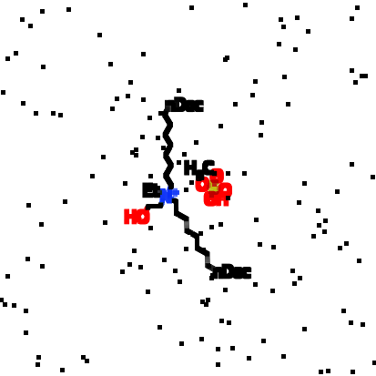 CCCCCCCCCCCCCCCCCC[N+](CC)(CCO)CCCCCCCCCCCCCCCCCC.COS(=O)(=O)O